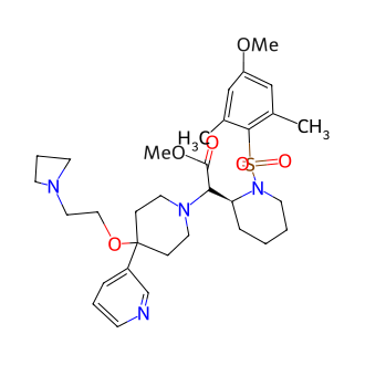 COC(=O)C([C@@H]1CCCCN1S(=O)(=O)c1c(C)cc(OC)cc1C)N1CCC(OCCN2CCC2)(c2cccnc2)CC1